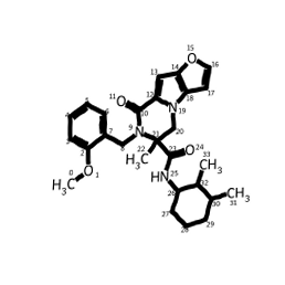 COc1ccccc1CN1C(=O)c2cc3occc3n2CC1(C)C(=O)NC1CCCC(C)C1C